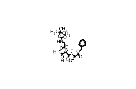 C[C@@H](O)[C@H](NC(=O)CNC(=O)OC(C)(C)C)C(=O)N[C@@H](CO)C(=O)OCc1ccccc1